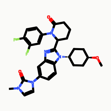 CO[C@H]1CC[C@H](n2c(C3CCCC(=O)N3c3ccc(F)c(F)c3)nc3cc(-n4ccn(C)c4=O)ccc32)CC1